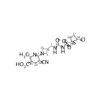 Cc1nc(N2CC(CNC(=O)NS(=O)(=O)c3ccc(Cl)s3)C2)c(C#N)cc1C(=O)O